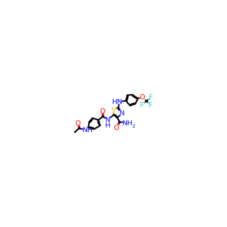 CC(=O)Nc1ccc(C(=O)Nc2sc(Nc3ccc(OC(F)(F)F)cc3)nc2C(N)=O)cc1